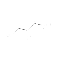 CCCCCCCC(=O)O.[Au]